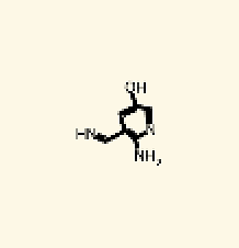 N=Cc1cc(O)cnc1N